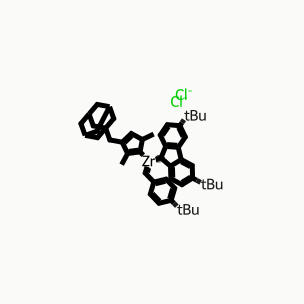 CC1=[C](/[Zr+2](=[CH]/c2ccc(C(C)(C)C)cc2)[CH]2c3ccc(C(C)(C)C)cc3-c3cc(C(C)(C)C)ccc32)C(C)C=C1CC12CC3CC(CC(C3)C1)C2.[Cl-].[Cl-]